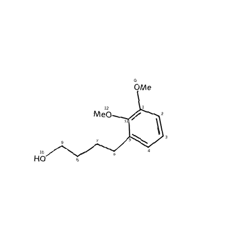 COc1cccc(CCCCO)c1OC